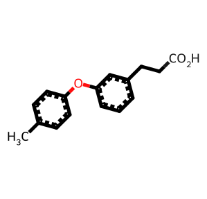 Cc1ccc(Oc2cccc(CCC(=O)O)c2)cc1